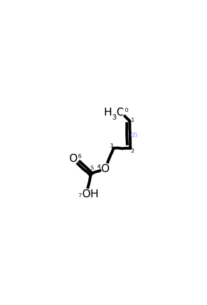 C/C=C\COC(=O)O